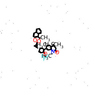 CCN1C(=O)CC(C)(C)c2cc(C)c(-c3cc([C@@H]4CC4C(=O)O[C@H](C)c4cccc5ccccc45)ccc3OC(F)(F)F)cc21